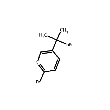 CCCC(C)(C)c1ccc(Br)nc1